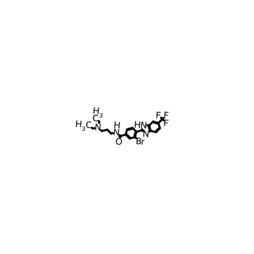 CCN(CC)CCCNC(=O)c1ccc(-c2nc3ccc(C(F)(F)F)cc3[nH]2)c(Br)c1